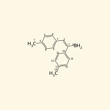 BC(=Cc1ccc(C)cc1)c1ccc(C)cc1